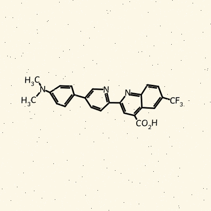 CN(C)c1ccc(-c2ccc(-c3cc(C(=O)O)c4cc(C(F)(F)F)ccc4n3)nc2)cc1